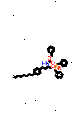 CCCCCCCCc1ccc(CCC(COP(=O)(Cc2ccccc2)Cc2ccccc2)NC(=O)OCc2ccccc2)cc1